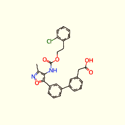 Cc1noc(-c2cccc(-c3cccc(CC(=O)O)c3)c2)c1NC(=O)OCCc1ccccc1Cl